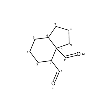 O=CC1CCCC2CCCC12C=O